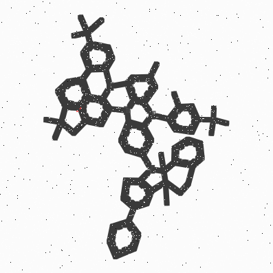 Cc1cc2c3c(c1)N(c1ccc(C(C)(C)C)cc1-c1ccccc1)c1cc4c(cc1B3c1ccc(N3c5ccc(-c6ccccc6)cc5C5(C)CCc6ccccc6C35C)cc1N2c1ccc(C(C)(C)C)cc1C)CC(C)(C)C4